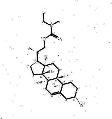 CCN(C)C(=O)OC[C@@H](C)[C@H]1CC[C@H]2[C@@H]3CC=C4C[C@@H](O)CC[C@]4(C)[C@H]3CC[C@]12C